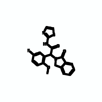 COc1ccc(F)cc1C(C(=O)Nc1nccs1)N1Cc2ccccc2C1=O